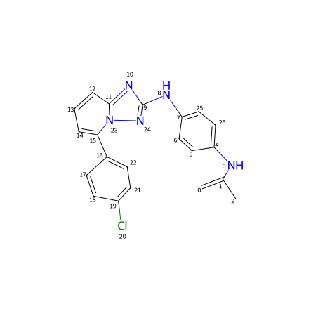 C=C(C)Nc1ccc(Nc2nc3cccc(-c4ccc(Cl)cc4)n3n2)cc1